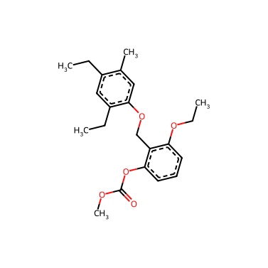 CCOc1cccc(OC(=O)OC)c1COc1cc(C)c(CC)cc1CC